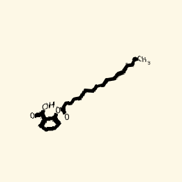 CCCCCCCCCCCCCCCCC(=O)Oc1ccccc1C(=O)O